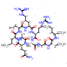 CC[C@H](C)[C@H](NC(=O)[C@H](CCCNC(=N)N)NC(=O)[C@H](CCCNC(=N)N)NC(=O)[C@H](CC(C)C)NC(=O)[C@H](CCC(=O)O)NC(=O)[C@H](CCC(N)=O)NC(=O)[C@H](C)N)C(=O)NCC(=O)N[C@@H](CC(=O)O)C(=O)N[C@@H](CCC(=O)O)C(=O)O